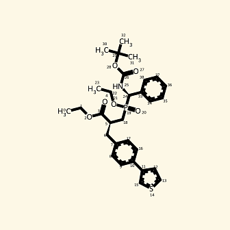 CCOC(=O)[C@H](Cc1ccc(-c2ccsc2)cc1)CP(=O)(OCC)[C@@H](NC(=O)OC(C)(C)C)c1ccccc1